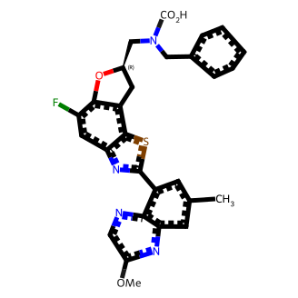 COc1cnc2c(-c3nc4cc(F)c5c(c4s3)C[C@H](CN(Cc3ccccc3)C(=O)O)O5)cc(C)cc2n1